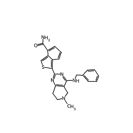 CN1CCc2nc(-c3scc4c(C(N)=O)cccc34)nc(NCc3ccccc3)c2C1